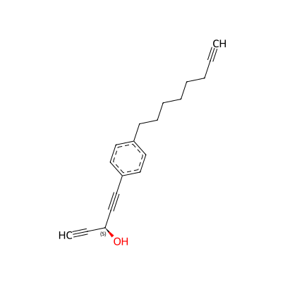 C#CCCCCCCc1ccc(C#C[C@@H](O)C#C)cc1